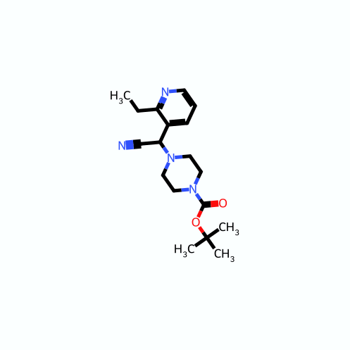 CCc1ncccc1C(C#N)N1CCN(C(=O)OC(C)(C)C)CC1